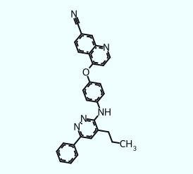 CCCc1cc(-c2ccccc2)nnc1Nc1ccc(Oc2ccnc3cc(C#N)ccc23)cc1